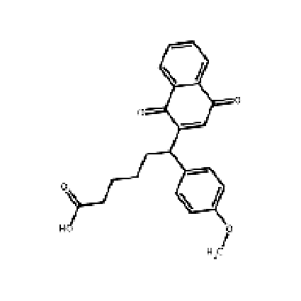 COc1ccc(C(CCCCC(=O)O)C2=CC(=O)c3ccccc3C2=O)cc1